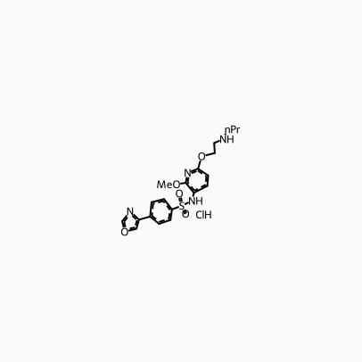 CCCNCCOc1ccc(NS(=O)(=O)c2ccc(-c3cocn3)cc2)c(OC)n1.Cl